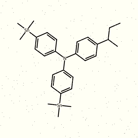 CCC(C)c1ccc(N(c2cc[c]([Sn]([CH3])([CH3])[CH3])cc2)c2cc[c]([Sn]([CH3])([CH3])[CH3])cc2)cc1